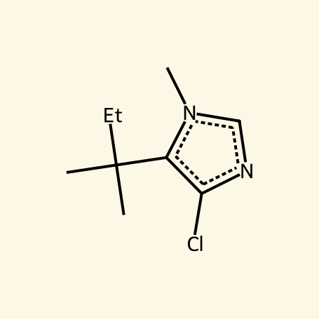 CCC(C)(C)c1c(Cl)ncn1C